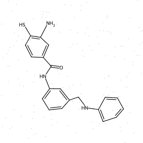 Nc1cc(C(=O)Nc2cccc(CNc3ccccc3)c2)ccc1S